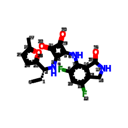 CC[C@@H](Nc1c(Nc2c(F)cc(F)c3c2C(=O)NC3)c(=O)c1=O)c1ccc(C)o1